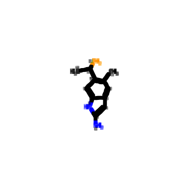 Cc1cc2cc(N)[nH]c2cc1C(C)P